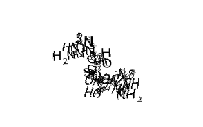 Nc1nc2c(ncn2[C@H]2C[C@@H](O)[C@@H](COP(O)(=S)OC[C@H]3O[C@@H](n4cnc5c(=S)[nH]c(N)nc54)C[C@H]3O)O2)c(=S)[nH]1